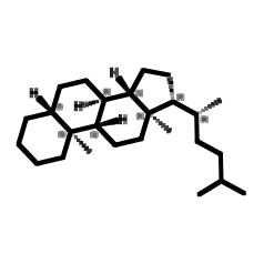 CC(C)CC[C@@H](C)[C@H]1CC[C@H]2[C@@H]3CC[C@H]4CCCC[C@]4(C)[C@H]3CC[C@]12C